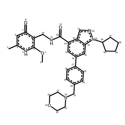 COc1[nH]c(C)cc(=O)c1CNC(=O)c1cc(-c2ccc(CN3CCOCC3)cc2)cc2c1cnn2C1CCCC1